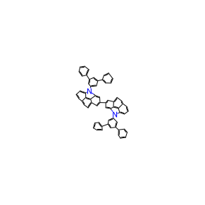 c1ccc(-c2cc(-c3ccccc3)cc(-n3c4cccc5ccc6cc(-c7cc8ccc9cccc%10c9c8c(c7)n%10-c7cc(-c8ccccc8)cc(-c8ccccc8)c7)cc3c6c54)c2)cc1